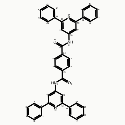 O=C(Nc1cc(-c2ccccc2)nc(-c2ccccc2)c1)c1ccc(C(=O)Nc2cc(-c3ccccc3)nc(-c3ccccc3)c2)cc1